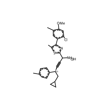 COc1cc(Cl)c(-c2nc(C(N)C#C[C@@H](CC3CC3)c3ccc(C)cc3)sc2C)cc1C.Cl